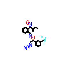 C=C(CC)/C(=N/OC)c1ccccc1/C=N/OC(CN=[N+]=[N-])c1cccc(C(F)(F)F)c1